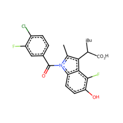 CCC(C)C(C(=O)O)c1c(C)n(C(=O)c2ccc(Cl)c(F)c2)c2ccc(O)c(F)c12